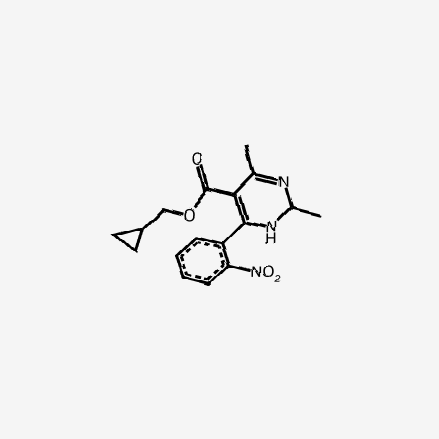 CC1=NC(C)NC(c2ccccc2[N+](=O)[O-])=C1C(=O)OCC1CC1